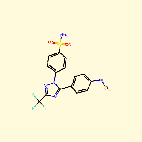 CNc1ccc(-c2nc(C(F)(F)F)nn2-c2ccc(S(N)(=O)=O)cc2)cc1